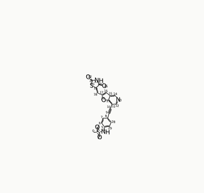 CS(=O)(=O)Nc1ccc(C#Cc2cncc3cc(/C=C4/SC(=O)NC4=O)oc23)cc1